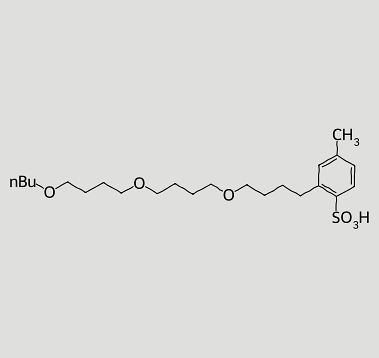 [CH2]CCCOCCCCOCCCCOCCCCc1cc(C)ccc1S(=O)(=O)O